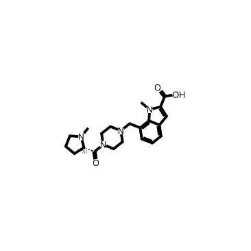 CN1CCC[C@H]1C(=O)N1CCN(Cc2cccc3cc(C(=O)O)n(C)c23)CC1